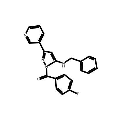 O=C(c1ccc(F)cc1)n1nc(-c2cccnc2)cc1NCc1ccccc1